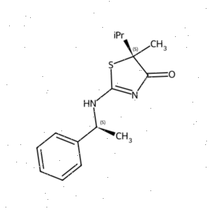 CC(C)[C@]1(C)SC(N[C@@H](C)c2ccccc2)=NC1=O